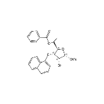 CO[C@H]1O[C@H](C(C)OC(=O)c2ccccc2)[C@@H](Oc2cccc3ccccc23)[C@H]1O